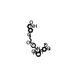 COc1ccc(C2=NN(C3CCN(C(=O)CCCOc4ccc5[nH]c(=O)ccc5c4)CC3)C(=O)[C@@H]3CC=CC[C@H]23)cc1OC